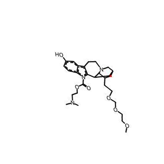 COCCOCOCCC1CC2CC3c4c(c5cc(O)ccc5n4C(=O)OCCN(C)C)CCN(C2)C13